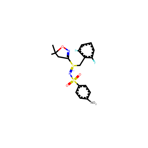 CC1(C)CC(/S(Cc2c(F)cccc2F)=N/S(=O)(=O)c2ccc([N+](=O)[O-])cc2)=NO1